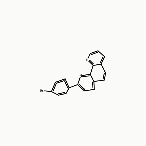 BrC1=C=C=C(c2ccc3ccc4cccnc4c3n2)C=C1